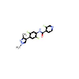 Cc1nn(C)cc1-c1cc(F)c(NC(=O)c2ccncc2F)cc1F